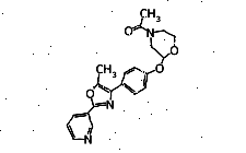 CC(=O)N1CCOC(Oc2ccc(-c3nc(-c4cccnc4)oc3C)cc2)C1